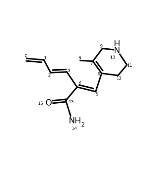 C=C/C=C/C(=C\C1=C(C)CNCC1)C(N)=O